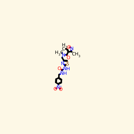 Cc1noc(C)c1C(=O)N(C)Cc1csc(NC(=O)NCc2ccc([N+](=O)[O-])cc2)n1